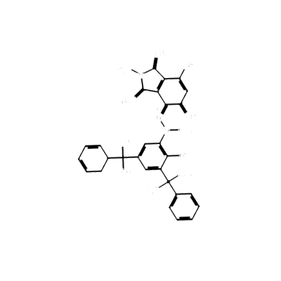 C=C1C=C(S)c2c(c(=C)n(C)c2=C)/C1=N/N(C)c1cc(C(C)(C)C2C=CC=CC2)cc(C(C)(C)c2ccccc2)c1N